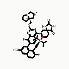 CC(C)[Si](C#Cc1c(F)ccc2cc(O)cc(-c3ccc4c(N5CCCC6(C5)NC(=O)NC6=O)nc(OC[C@@]56CCCN5C[C@H](F)C6)nc4c3F)c12)(C(C)C)C(C)C